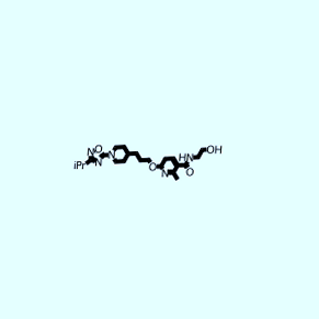 CC1=NC(OCCCC2CCN(c3nc(C(C)C)no3)CC2)CC=C1C(=O)NCCO